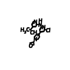 CC(C)c1ccnc(Nc2cc(C3CCN(C4COC4)CC3)cc(Cl)n2)c1